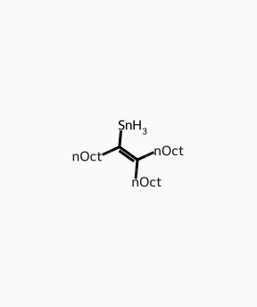 CCCCCCCC[C]([SnH3])=C(CCCCCCCC)CCCCCCCC